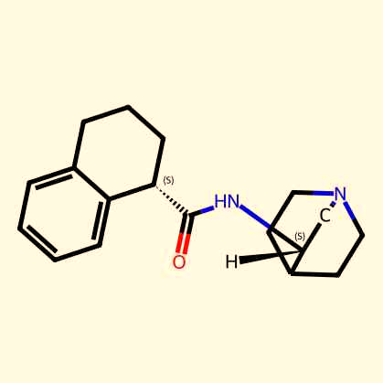 O=C(N[C@@H]1CN2CCC1CC2)[C@H]1CCCc2ccccc21